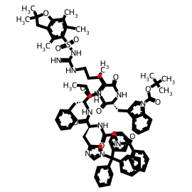 CCCN(CCC)C(=O)[C@@H](Cc1cn(C(=O)OC(C)(C)C)c2ccccc12)NC(=O)[C@H](CCCNC(=N)NS(=O)(=O)c1c(C)c(C)c2c(c1C)CC(C)(C)O2)NC(=O)[C@@H](Cc1ccccc1)NC(=O)[C@H](Cc1cn(C(c2ccccc2)(c2ccccc2)c2ccccc2)cn1)NC(=O)CNC(=O)c1ccccc1